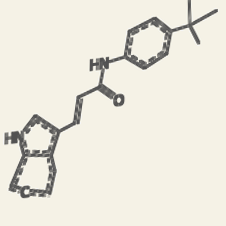 CC(C)(C)c1ccc(NC(=O)/C=C/c2c[nH]c3ccccc23)cc1